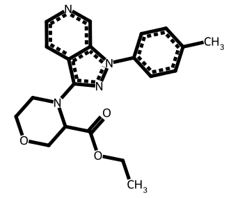 CCOC(=O)C1COCCN1c1nn(-c2ccc(C)cc2)c2cnccc12